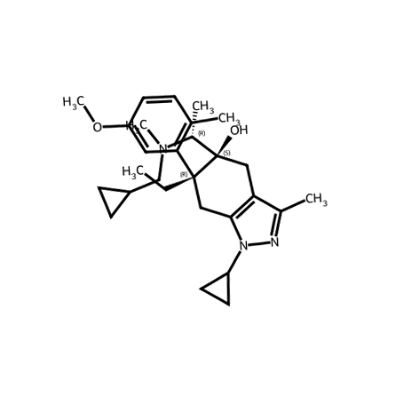 CC[C@]1(c2cc(OC)ccc2C)Cc2c(c(C)nn2C2CC2)C[C@@]1(O)[C@@H](C)N(C)CC1CC1